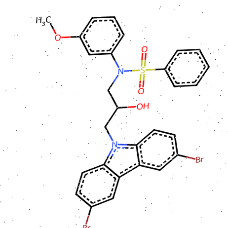 COc1cccc(N(CC(O)Cn2c3ccc(Br)cc3c3cc(Br)ccc32)S(=O)(=O)c2ccccc2)c1